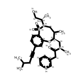 CC(C)CC#Cc1ccc2c(c1)O[C@H](CN(C)C(=O)Cc1cccnc1)C(C)CN([C@@H](C)CO)S2(=O)=O